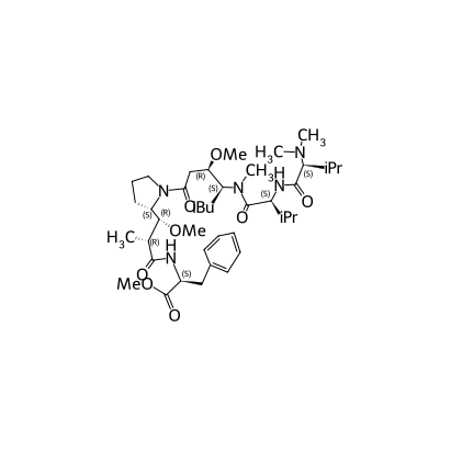 CCC(C)[C@@H]([C@@H](CC(=O)N1CCC[C@H]1[C@H](OC)[C@@H](C)C(=O)N[C@@H](Cc1ccccc1)C(=O)OC)OC)N(C)C(=O)[C@@H](NC(=O)[C@H](C(C)C)N(C)C)C(C)C